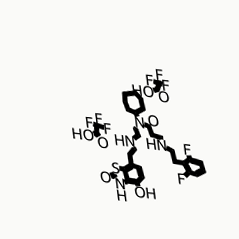 O=C(CCNCCc1c(F)cccc1F)N(CCNCCc1ccc(O)c2[nH]c(=O)sc12)C1CCCCCC1.O=C(O)C(F)(F)F.O=C(O)C(F)(F)F